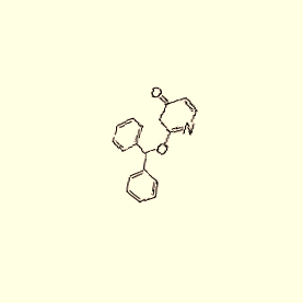 O=C1C=CN=C(OC(c2ccccc2)c2ccccc2)C1